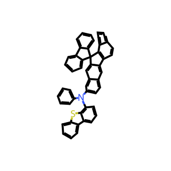 c1ccc(N(c2ccc3cc4c(cc3c2)C2(c3ccccc3-c3ccccc32)c2c-4ccc3ccccc23)c2cccc3c2sc2ccccc23)cc1